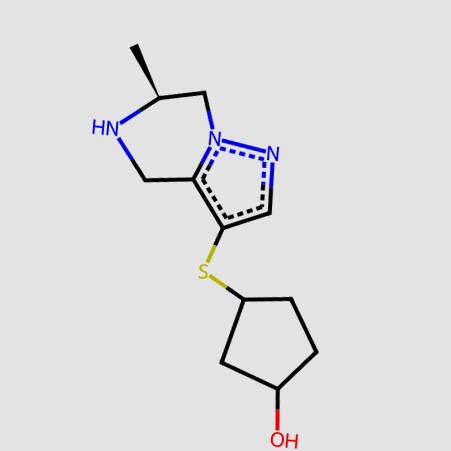 C[C@H]1Cn2ncc(SC3CCC(O)C3)c2CN1